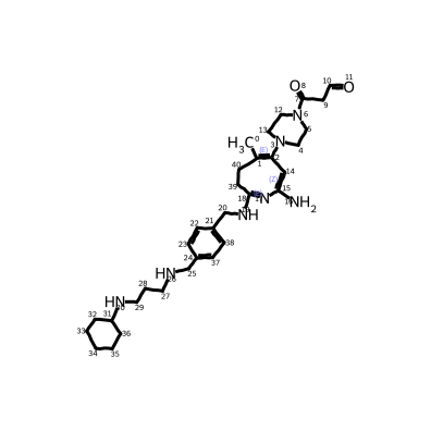 C/C1=C(N2CCN(C(=O)CC=O)CC2)/C=C(N)\N=C(\NCc2ccc(CNCCCNC3CCCCC3)cc2)CC1